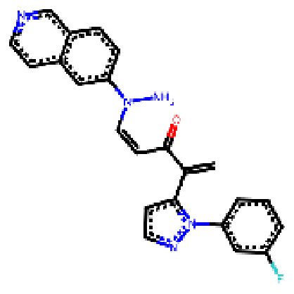 C=C(C(=O)/C=C\N(N)c1ccc2cnccc2c1)c1ccnn1-c1cccc(F)c1